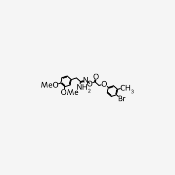 COc1ccc(C/C(N)=N/OC(=O)COc2ccc(Br)c(C)c2)cc1OC